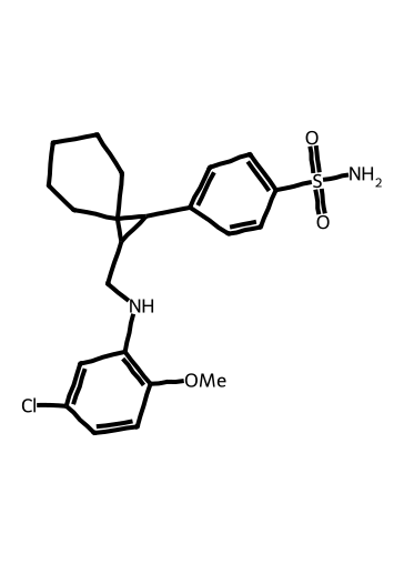 COc1ccc(Cl)cc1NCC1C(c2ccc(S(N)(=O)=O)cc2)C12CCCCC2